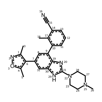 Cc1noc(C)c1-c1cc(-c2cccc(C#N)c2C)c2nc(N3CCN(C)CC3)[nH]c2c1